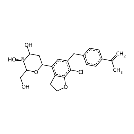 C=C(C)c1ccc(Cc2cc(C3CC(O)[C@H](O)C(CO)O3)c3c(c2Cl)OCC3)cc1